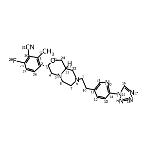 Cc1c([C@H]2CN3CCN(CCc4ccc(-n5cnnn5)nc4)C[C@H]3CO2)ccc(F)c1C#N